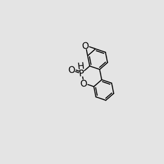 O=[PH]1Oc2ccccc2-c2ccc3c(c21)O3